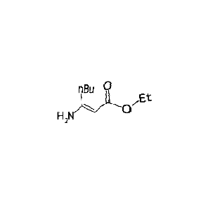 CCCC/C(N)=C\C(=O)OCC